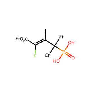 CCOC(=O)/C(F)=C(\C)C(CC)(CC)P(=O)(O)O